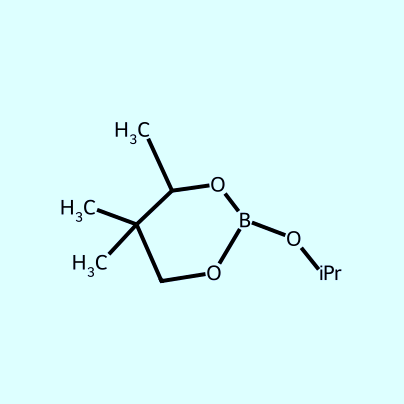 CC(C)OB1OCC(C)(C)C(C)O1